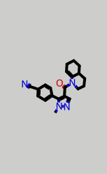 Cn1ncc(C(=O)N2CCCC3CCCC=C32)c1-c1ccc(C#N)cc1